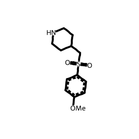 COc1ccc(S(=O)(=O)CC2CCNCC2)cc1